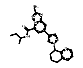 CCC(C)NC(=O)c1cc(-c2cnn(C3CCCc4cccnc43)c2)cc2nc(N)nn12